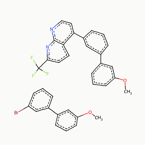 COc1cccc(-c2cccc(-c3ccnc4nc(C(F)(F)F)ccc34)c2)c1.COc1cccc(-c2cccc(Br)c2)c1